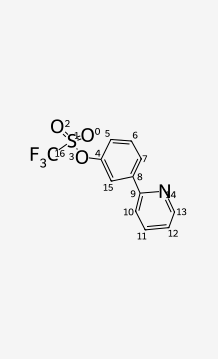 O=S(=O)(Oc1cccc(-c2ccccn2)c1)C(F)(F)F